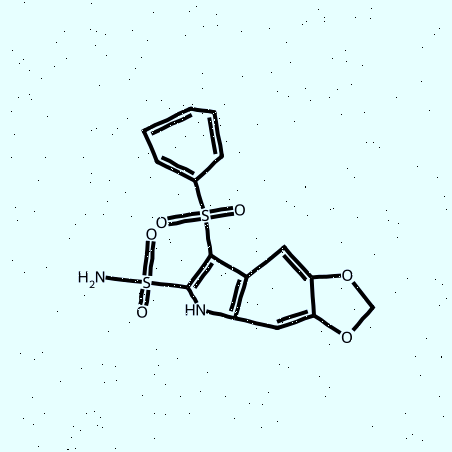 NS(=O)(=O)c1[nH]c2cc3c(cc2c1S(=O)(=O)c1ccccc1)OCO3